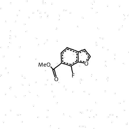 COC(=O)c1ccc2ccoc2c1F